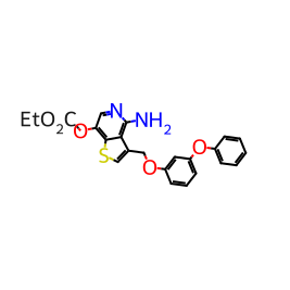 CCOC(=O)Oc1cnc(N)c2c(COc3cccc(Oc4ccccc4)c3)csc12